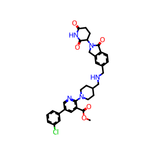 COC(=O)c1cc(-c2cccc(Cl)c2)cnc1N1CCC(CNCc2ccc3c(c2)CN(C2CCC(=O)NC2=O)C3=O)CC1